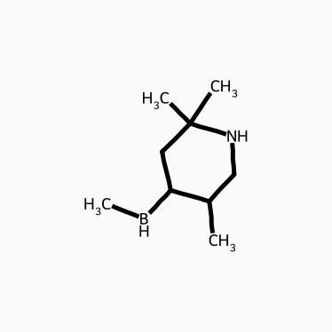 CBC1CC(C)(C)NCC1C